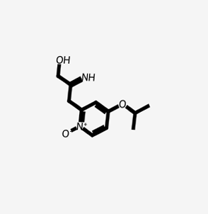 CC(C)Oc1cc[n+]([O-])c(CC(=N)CO)c1